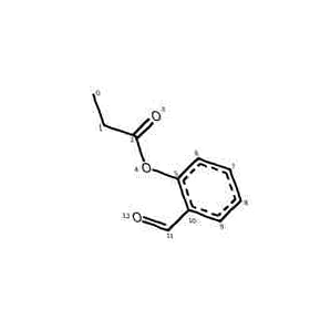 C[CH]C(=O)Oc1ccccc1C=O